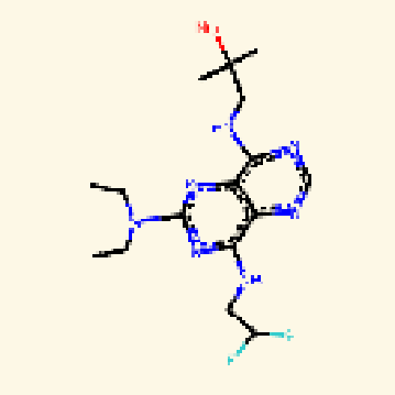 CCN(CC)c1nc(NCC(F)F)c2ncnc(NCC(C)(C)O)c2n1